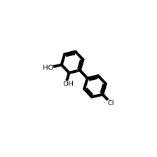 OC1C=CC=C(c2ccc(Cl)cc2)C1O